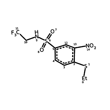 CCSc1ccc(S(=O)(=O)NCC(F)(F)F)cc1[N+](=O)[O-]